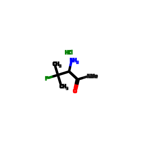 CNC(=O)C(N)C(C)(C)F.Cl